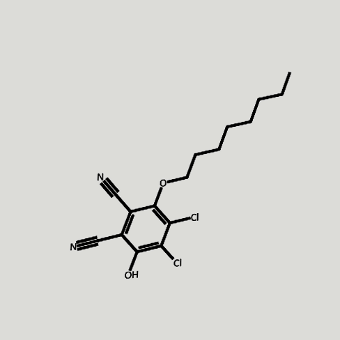 CCCCCCCCOc1c(Cl)c(Cl)c(O)c(C#N)c1C#N